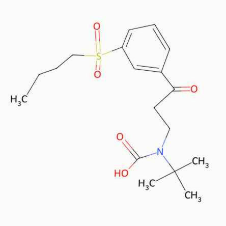 CCCCS(=O)(=O)c1cccc(C(=O)CCN(C(=O)O)C(C)(C)C)c1